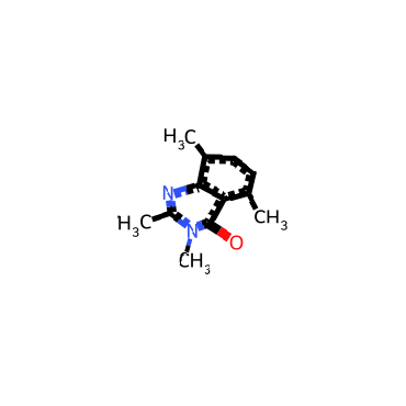 Cc1ccc(C)c2c(=O)n(C)c(C)nc12